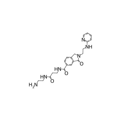 NCCNC(=O)CCNC(=O)c1ccc2c(c1)C(=O)N(CCNc1ccccn1)C2